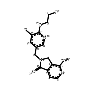 CCCc1nccc2c1CN(Cc1cnc(OCCF)c(C)c1)C2=O